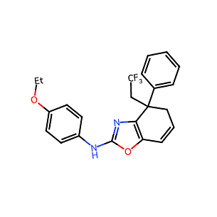 CCOc1ccc(Nc2nc3c(o2)C=CCC3(CC(F)(F)F)c2ccccc2)cc1